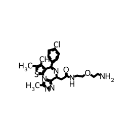 Cc1sc2c(c1C)C(c1ccc(Cl)cc1)=NC(CC(=O)NCCOCCN)c1nnc(C)n1-2